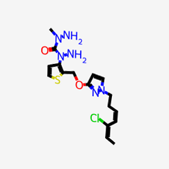 C/C=C(Cl)\C=C/CCn1ccc(OCc2sccc2N(N)C(=O)N(C)N)n1